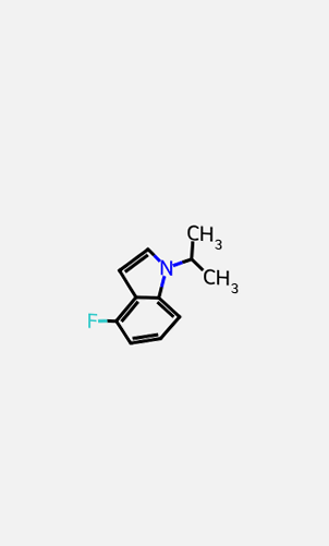 CC(C)n1ccc2c(F)cccc21